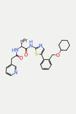 CCC[C@H](NC(=O)Cc1cccnc1)C(=O)Nc1ncc(-c2ccccc2COC2CCCCC2)s1